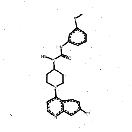 CSc1cccc(NC(=O)N(S)C2CCN(c3ccnc4cc(Cl)ccc34)CC2)c1